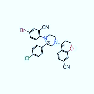 N#Cc1ccc2c(c1)OCC[C@H]2N1CCN(c2ccc(Br)cc2C#N)[C@H](c2ccc(Cl)cc2)C1